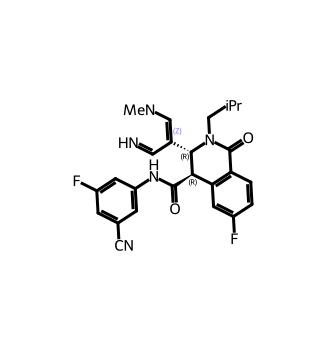 CN/C=C(\C=N)[C@H]1[C@H](C(=O)Nc2cc(F)cc(C#N)c2)c2cc(F)ccc2C(=O)N1CC(C)C